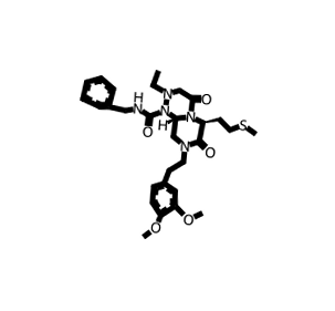 CCN1CC(=O)N2[C@@H](CCSC)C(=O)N(CCc3ccc(OC)c(OC)c3)C[C@@H]2N1C(=O)NCc1ccccc1